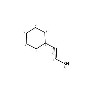 S/C=C/C1CCCCC1